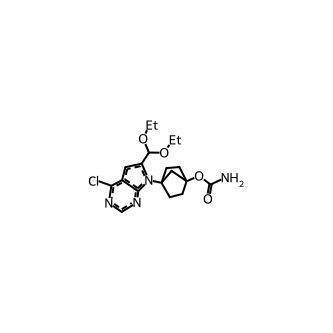 CCOC(OCC)c1cc2c(Cl)ncnc2n1C12CCC(OC(N)=O)(CC1)C2